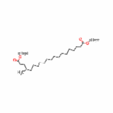 CCCCCCCOC(=O)CCCCCCCCCCCCCCCC(C)CCC(=O)OCCCCCCC